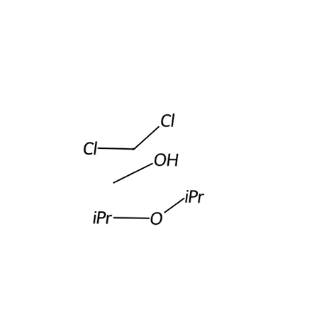 CC(C)OC(C)C.CO.ClCCl